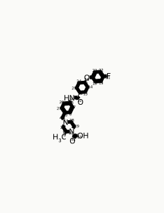 C[C@H]1CN(Cc2ccc(NC(=O)[C@H]3CC[C@H](Oc4ccc(F)cc4)CC3)cc2)CCN1C(=O)O